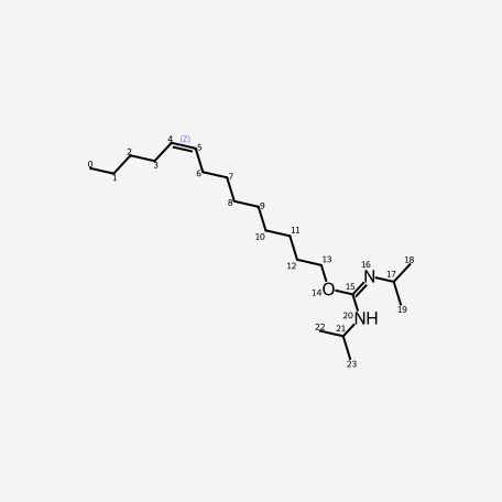 CCCC/C=C\CCCCCCCCOC(=NC(C)C)NC(C)C